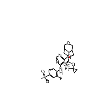 CCC1(OC(=O)N2CC3COCC(C2)C3Oc2ncnc(Nc3ccc(S(C)(=O)=O)cc3F)c2F)CC1